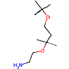 CC(C)(C)OCCC(C)(C)OCCN